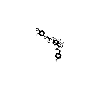 O=C(COc1ccc(Cl)c(F)c1)NC12CCC(C(=O)NCc3ccc(F)cc3)(CC1)[C@@H](O)C2